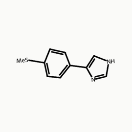 CSc1ccc(-c2c[nH]cn2)cc1